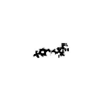 CC(C)(C)c1ccc(CNCCC(NC(=N)N)C(F)(F)F)cc1